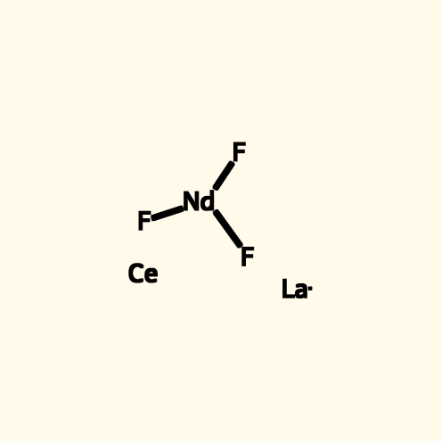 [Ce].[F][Nd]([F])[F].[La]